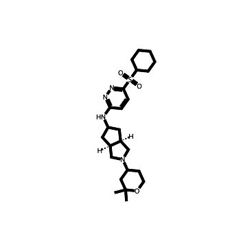 CC1(C)CC(N2C[C@H]3CC(Nc4ccc(S(=O)(=O)C5CCCCC5)nn4)C[C@H]3C2)CCO1